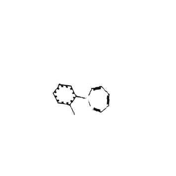 Cc1ccccc1N1C=CC=CC=N1